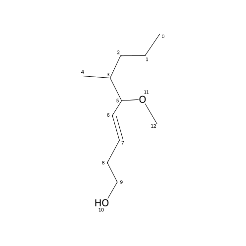 CCCC(C)C(C=CCCO)OC